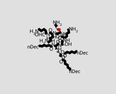 CCCCCCCCCCCCCCCC(=O)N[C@@H](CSC[C@@H](COC(=O)CCCCCCCCCCCCCCC)OC(=O)CCCCCCCCCCCCCCC)C(=O)N[C@@H](CO)C(=O)NC(CCCCN)C(=O)N[C@@H](CCCCN)C(=O)NC(CCCCN)C(=O)N[C@H](C=O)CCCCN